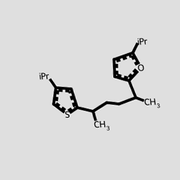 CC(C)c1csc(C(C)CCC(C)c2ccc(C(C)C)o2)c1